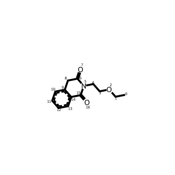 CCOCCN1C(=O)Cc2ccccc2C1=O